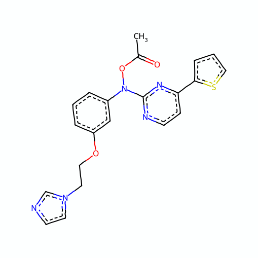 CC(=O)ON(c1cccc(OCCn2ccnc2)c1)c1nccc(-c2cccs2)n1